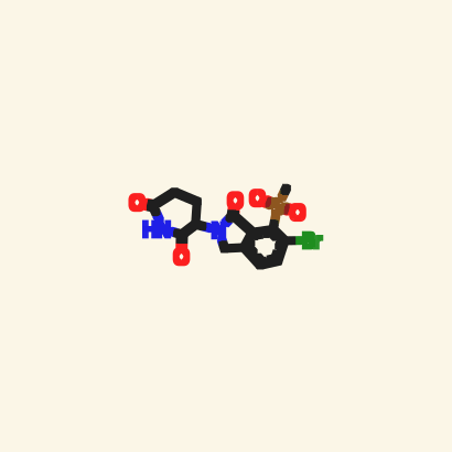 CS(=O)(=O)c1c(Br)ccc2c1C(=O)N(C1CCC(=O)NC1=O)C2